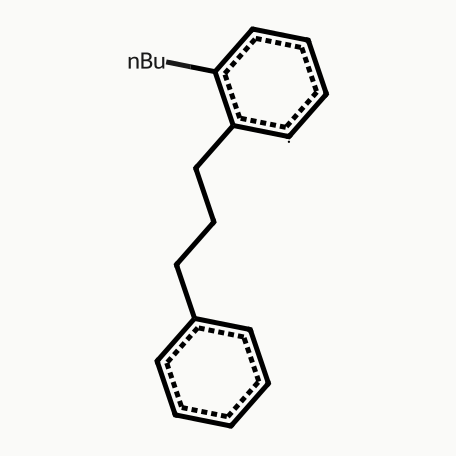 CCCCc1ccc[c]c1CCCc1ccccc1